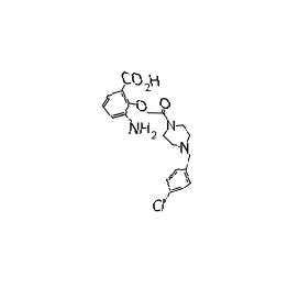 Nc1cccc(C(=O)O)c1OCC(=O)N1CCN(Cc2ccc(Cl)cc2)CC1